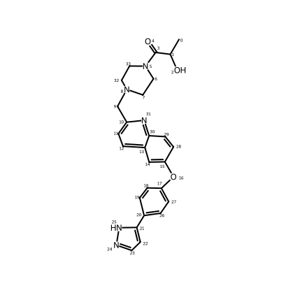 CC(O)C(=O)N1CCN(Cc2ccc3cc(Oc4ccc(-c5ccn[nH]5)cc4)ccc3n2)CC1